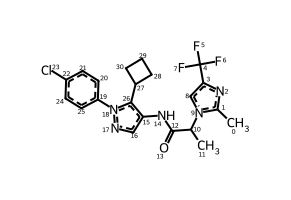 Cc1nc(C(F)(F)F)cn1C(C)C(=O)Nc1cnn(-c2ccc(Cl)cc2)c1C1CCC1